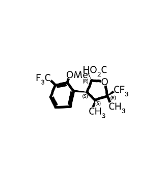 COc1c([C@H]2[C@H](C(=O)O)O[C@@](C)(C(F)(F)F)[C@H]2C)cccc1C(F)(F)F